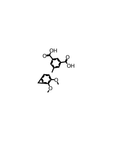 COc1ccc2c(c1OC)C2.Cc1cc(C(=O)O)cc(C(=O)O)c1